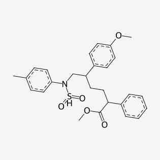 COC(=O)C(CCC(CN(c1ccc(C)cc1)[SH](=O)=O)c1ccc(OC)cc1)c1ccccc1